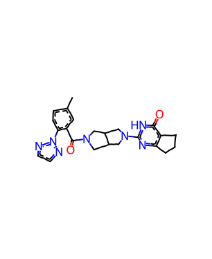 Cc1ccc(-n2nccn2)c(C(=O)N2CC3CN(c4nc5c(c(=O)[nH]4)CCC5)CC3C2)c1